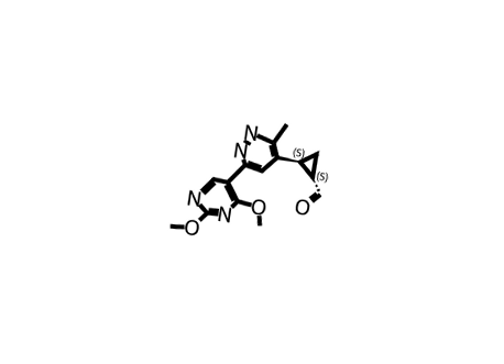 COc1ncc(-c2cc([C@H]3C[C@@H]3C=O)c(C)nn2)c(OC)n1